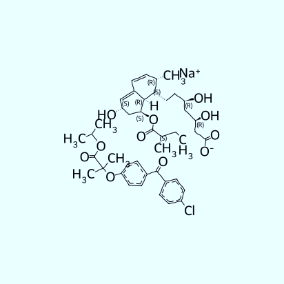 CC(C)OC(=O)C(C)(C)Oc1ccc(C(=O)c2ccc(Cl)cc2)cc1.CC[C@H](C)C(=O)O[C@H]1C[C@H](O)C=C2C=C[C@H](C)[C@H](CC[C@@H](O)C[C@@H](O)CC(=O)[O-])[C@H]21.[Na+]